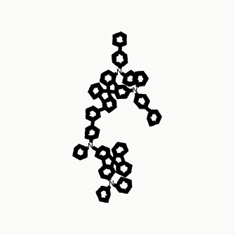 c1ccc(-c2ccc(N(c3ccccc3)c3ccc4c(c3)-c3c(N(c5ccccc5)c5ccc(-c6ccccc6)cc5)cccc3C43c4ccccc4-c4c(-c5cccc(-c6ccc(N(c7ccccc7)c7ccc8c(c7)-c7ccc(N(c9ccccc9)c9ccccc9)cc7C87c8ccccc8-c8ccccc87)cc6)c5)cccc43)cc2)cc1